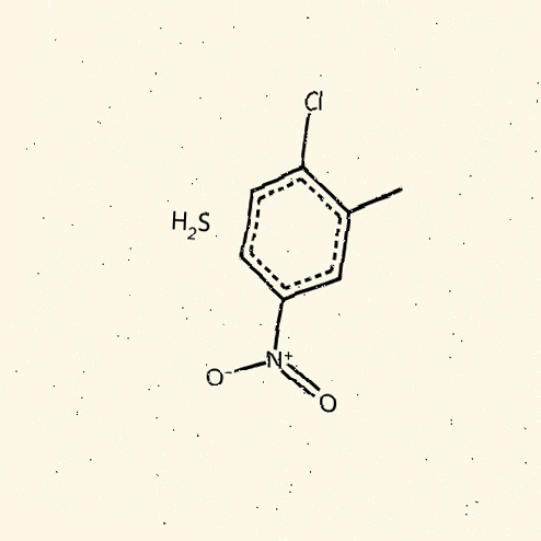 Cc1cc([N+](=O)[O-])ccc1Cl.S